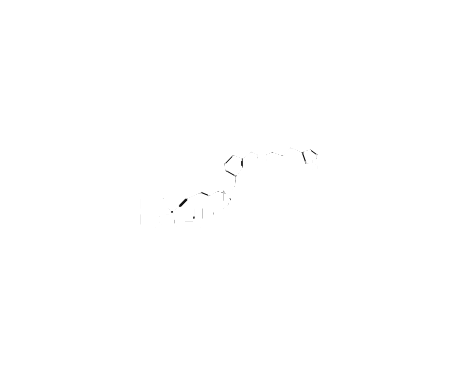 CCN(C/C=C/C#CC(C)(C)C)Cc1cccc(COCCCc2ccsc2)c1